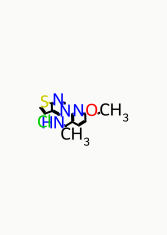 CCOc1ccc(C(C)Nc2ncnc3scc(Cl)c23)cn1